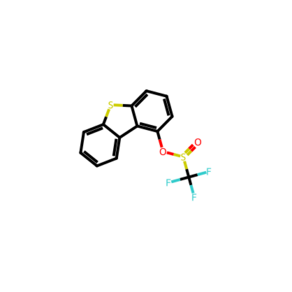 O=S(Oc1cccc2sc3ccccc3c12)C(F)(F)F